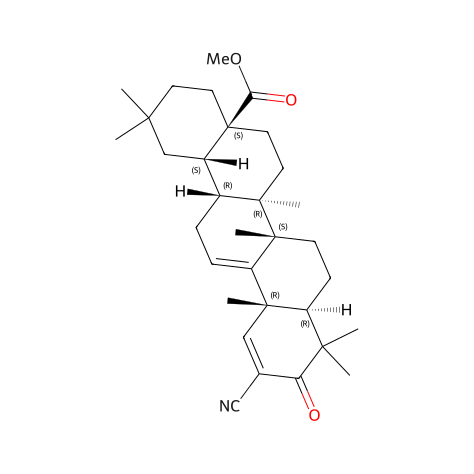 COC(=O)[C@]12CCC(C)(C)C[C@H]1[C@H]1CC=C3[C@@]4(C)C=C(C#N)C(=O)C(C)(C)[C@@H]4CC[C@@]3(C)[C@]1(C)CC2